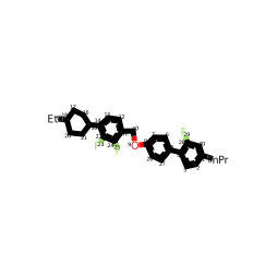 CCCc1ccc(-c2ccc(OCc3ccc(C4CCC(CC)CC4)c(F)c3F)cc2)c(F)c1